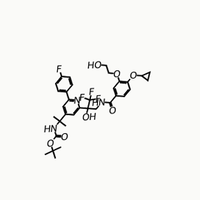 CC(C)(C)OC(=O)NC(C)(C)c1cc(-c2ccc(F)cc2)nc(C(O)(CNC(=O)c2ccc(OC3CC3)c(OCCO)c2)C(F)(F)F)c1